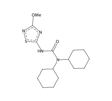 COc1nsc(NC(=O)N(C2CCCCC2)C2CCCCC2)n1